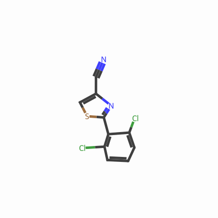 N#Cc1csc(-c2c(Cl)cccc2Cl)n1